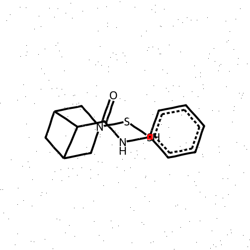 O=C(Nc1ccccc1)C1C2CC1CN(SS)C2